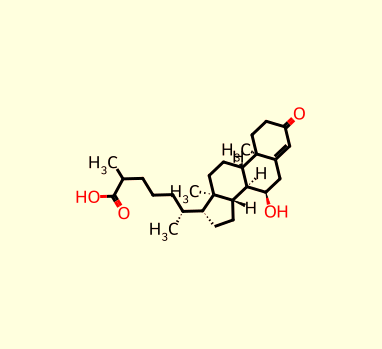 CC(CCC[C@@H](C)[C@H]1CC[C@H]2[C@@H]3[C@H](O)CC4=CC(=O)CC[C@]4(C)[C@H]3CC[C@]12C)C(=O)O